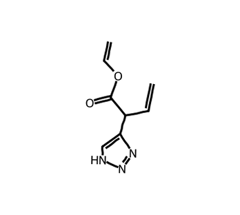 C=COC(=O)C(C=C)c1c[nH]nn1